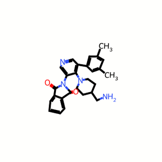 Cc1cc(C)cc(-c2cncc(N3C(=O)c4ccccc4C3=O)c2N2CCC(CN)CC2)c1